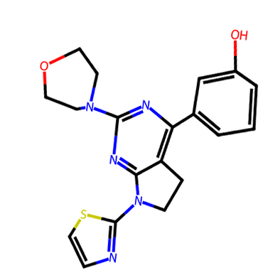 Oc1cccc(-c2nc(N3CCOCC3)nc3c2CCN3c2nccs2)c1